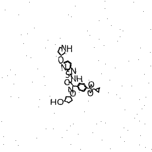 O=C(Nc1nc2ccc(O[C@H]3CCNC3)nc2s1)/C(=N/O[C@@H]1CC[C@@H](O)C1)c1ccc(S(=O)(=O)C2CC2)cc1